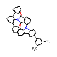 O=C1c2cccc(-n3c4ccccc4c4cc(-c5cc(C(F)(F)F)cc(C(F)(F)F)c5)ccc43)c2C(=O)N1c1c(-c2ccccc2)cccc1-c1ccccc1